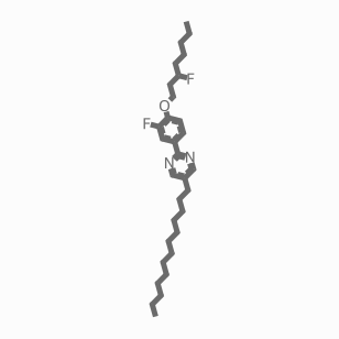 CCCCCCCCCCCCCc1cnc(-c2ccc(OCCC(F)CCCCC)c(F)c2)nc1